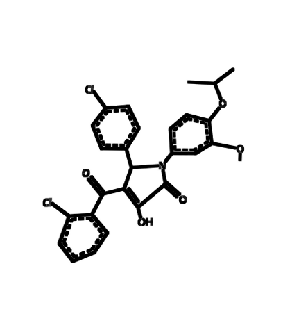 COc1cc(N2C(=O)C(O)=C(C(=O)c3ccccc3Cl)C2c2ccc(Cl)cc2)ccc1OC(C)C